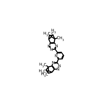 CC12CCC(c3nnc(-c4cccc(-c5nnc6c(n5)C5(C)CCC6C5(C)C)n4)nc31)C2(C)C